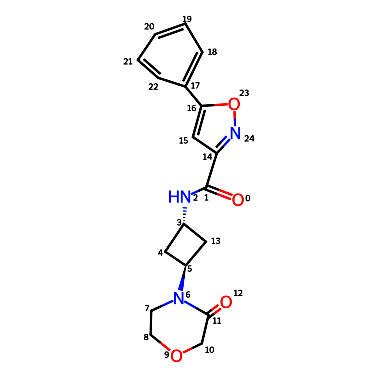 O=C(N[C@H]1C[C@H](N2CCOCC2=O)C1)c1cc(-c2ccccc2)on1